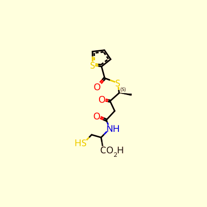 C[C@H](SC(=O)c1cccs1)C(=O)CC(=O)NC(CS)C(=O)O